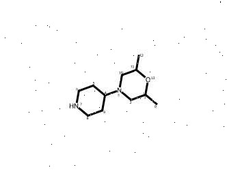 CC1CN(C2CCNCC2)CC(C)O1